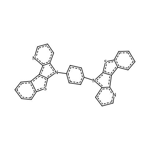 c1ccc2c(c1)sc1c2c2ncccc2n1-c1ccc(-n2c3cccnc3c3c4ccccc4sc32)cc1